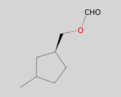 CC1CC[C@H](COC=O)C1